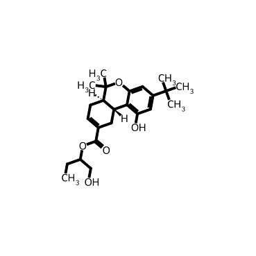 CCC(CO)OC(=O)C1=CC[C@@H]2[C@@H](C1)c1c(O)cc(C(C)(C)C)cc1OC2(C)C